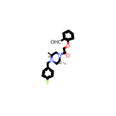 C[C@@H]1CN(Cc2ccc(F)cc2)[C@@H](C)CN1C(=O)COc1ccccc1C=O